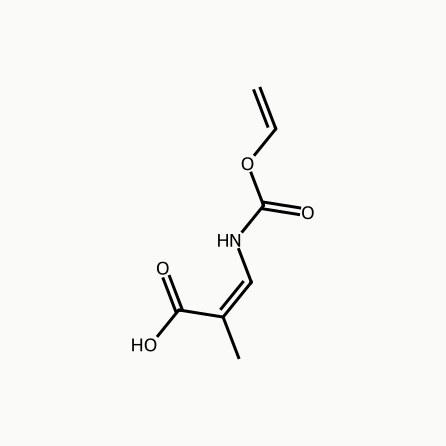 C=COC(=O)NC=C(C)C(=O)O